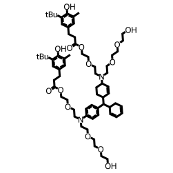 Cc1cc(CCC(=O)OCCOCCN(CCOCCOCCO)c2ccc(C(C3C=CC=CC3)C3C=CC(N(CCOCCOCCO)CCOCCOC(=O)CCc4cc(C)c(O)c(C(C)(C)C)c4)CC3)cc2)cc(C(C)(C)C)c1O